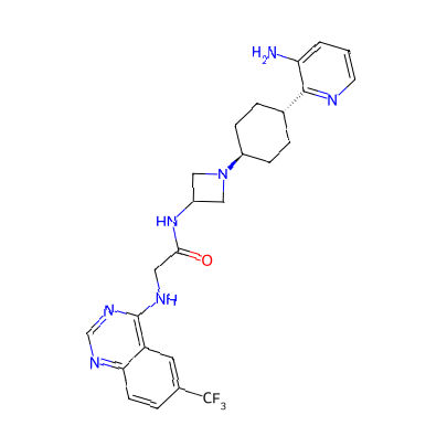 Nc1cccnc1[C@H]1CC[C@H](N2CC(NC(=O)CNc3ncnc4ccc(C(F)(F)F)cc34)C2)CC1